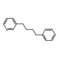 c1ccc(CCCCc2cccnc2)cc1